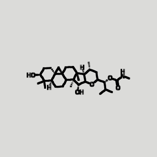 CNC(=O)O[C@H](C(C)C)C1C[C@@H](C)[C@H]2C(O1)[C@H](O)[C@@]1(C)C3CC[C@H]4C(C)(C)[C@@H](O)CC[C@@]45C[C@@]35CC[C@]21C